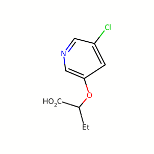 CCC(Oc1cncc(Cl)c1)C(=O)O